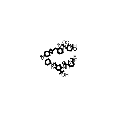 CN(C[C@H]1CC[C@H](n2cc3cc(NC(=O)c4cccc(C(F)(F)F)n4)c(C(C)(C)O)cc3n2)CC1)C1CCC2(CC1)CC(Cc1cccc3c1n(C)c(=O)n3C1CCC(=O)NC1=O)C2